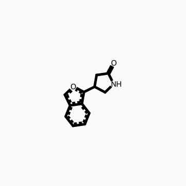 O=C1CC(c2occ3ccccc23)CN1